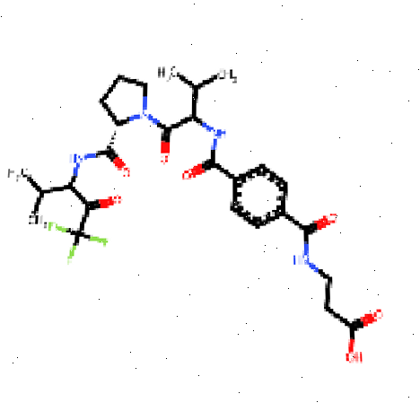 CC(C)C(NC(=O)c1ccc(C(=O)NCCC(=O)O)cc1)C(=O)N1CCC[C@H]1C(=O)NC(C(=O)C(F)(F)F)C(C)C